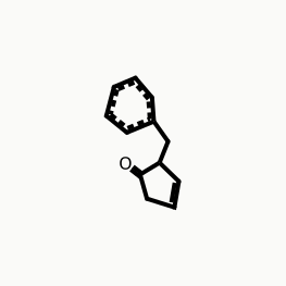 O=C1CC=CC1Cc1ccccc1